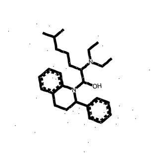 CCN(CC)C(CCCC(C)C)C(O)N1c2ccccc2CCC1c1ccccc1